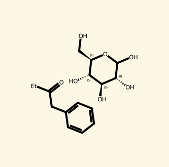 CCC(=O)Cc1ccccc1.OC[C@H]1OC(O)[C@H](O)[C@@H](O)[C@@H]1O